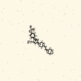 CC(C)c1cc(N2CCN(CCN3CCOCC3)CC2)nn1-c1ccc(OC(F)F)cc1